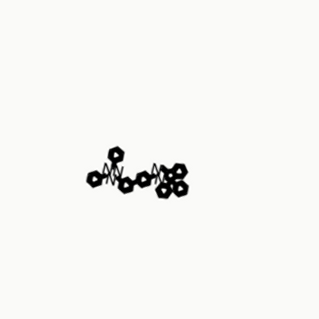 c1ccc(-c2nc(-c3ccccc3)nc(-c3cccc(-c4ccc(-c5ncc6c(n5)C(c5ccccc5)(c5ccccc5)c5ccccc5-6)cc4)c3)n2)cc1